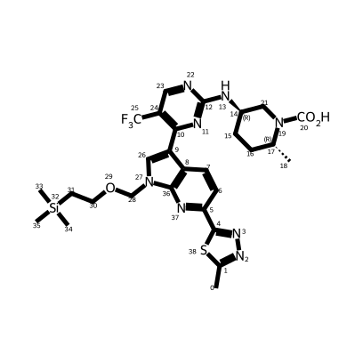 Cc1nnc(-c2ccc3c(-c4nc(N[C@@H]5CC[C@@H](C)N(C(=O)O)C5)ncc4C(F)(F)F)cn(COCC[Si](C)(C)C)c3n2)s1